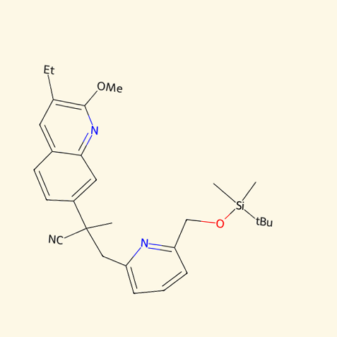 CCc1cc2ccc(C(C)(C#N)Cc3cccc(CO[Si](C)(C)C(C)(C)C)n3)cc2nc1OC